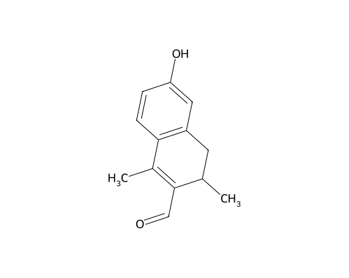 CC1=C(C=O)C(C)Cc2cc(O)ccc21